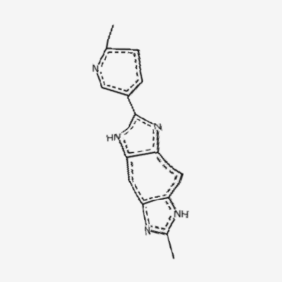 Cc1ccc(-c2nc3cc4[nH]c(C)nc4cc3[nH]2)cn1